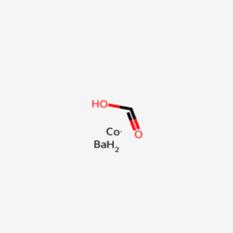 O=CO.[BaH2].[Co]